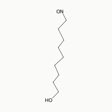 O=NCCCCCCCCCO